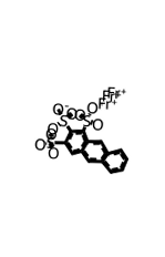 O=S(=O)([O-])c1cc2cc3ccccc3cc2c(S(=O)(=O)[O-])c1S(=O)(=O)[O-].[Fr+].[Fr+].[Fr+]